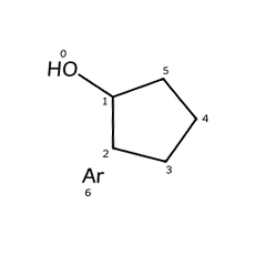 OC1CCCC1.[Ar]